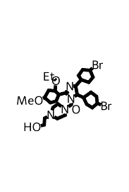 CCOC1CC(OC)CCC1C1=NC(C2CCC(Br)CC2)C(C2CCC(Br)CC2)N1C(=O)N1CCN(CCO)CC1